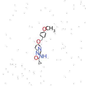 COc1ccc(COc2ccc3nc(NC(=O)C4CC4)cn3c2)cc1